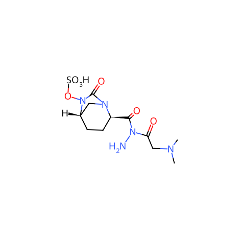 CN(C)CC(=O)N(N)C(=O)[C@H]1CC[C@H]2CN1C(=O)N2OS(=O)(=O)O